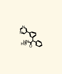 O=C(NO)C(c1ccccc1)c1cccc(-c2cncnc2)c1